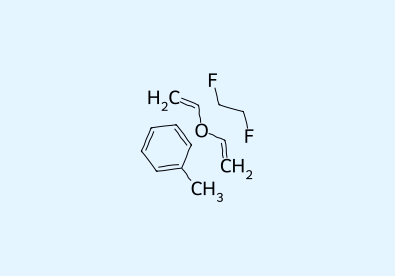 C=COC=C.Cc1ccccc1.FCCF